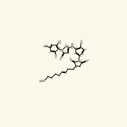 CCCCCCCCCCCCCCC=CCCC1CC(=O)N(c2ccc(Cl)c(Nc3cc(=O)n(-c4c(Cl)cc(Cl)cc4Cl)[nH]3)c2)C1=O